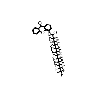 O=C(Oc1cccc2c(=O)c3ccccc3oc12)C(F)(F)C(F)(F)C(F)(F)C(F)(F)C(F)(F)C(F)(F)C(F)(F)C(F)(F)C(F)(F)C(F)(F)C(F)(F)F